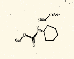 COC(=O)[C@@H]1CCCC[C@H]1NC(=O)OC(C)(C)C